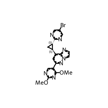 COc1ncc(-c2cc([C@H]3C[C@@H]3c3ncc(Br)cn3)c3nccn3n2)c(OC)n1